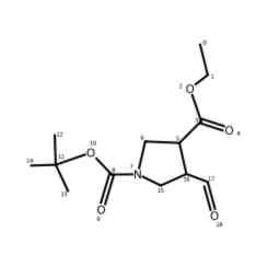 CCOC(=O)C1CN(C(=O)OC(C)(C)C)CC1C=O